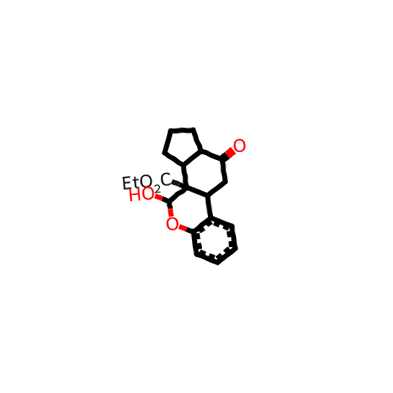 CCOC(=O)C12C(O)Oc3ccccc3C1CC(=O)C1CCCC12